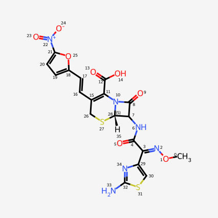 CON=C(C(=O)NC1C(=O)N2C(C(=O)O)=C(C=Cc3ccc([N+](=O)[O-])o3)CS[C@@H]12)c1csc(N)n1